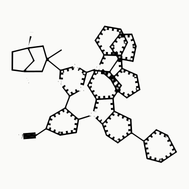 CC1(c2nc(-c3cc(C#N)ccc3-n3c4ccc(-c5ccccc5)cc4c4cc(-c5ccccc5)ccc43)nc(-n3c4ccccc4c4ccccc43)n2)C[C@H]2CC[C@@H](C2)C1